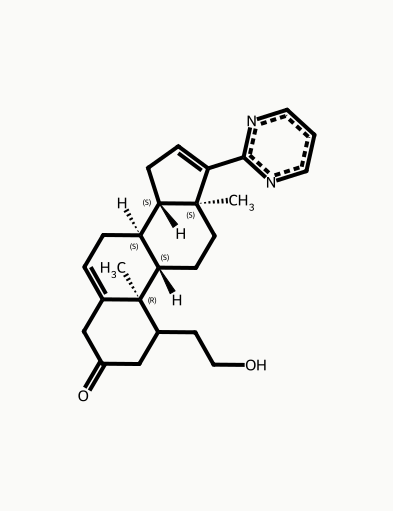 C[C@]12CC[C@H]3[C@@H](CC=C4CC(=O)CC(CCO)[C@@]43C)[C@@H]1CC=C2c1ncccn1